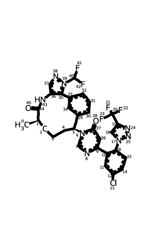 C[C@@H]1CCC[C@H](n2cnc(-c3cc(Cl)ccc3-n3cc(C(F)(F)F)nn3)cc2=O)c2cccc(c2)-c2c(cnn2C(F)F)NC1=O